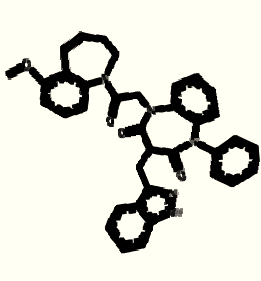 COc1cccc2c1CCCCN2C(=O)CN1C(=O)C(Cc2n[nH]c3ccccc23)C(=O)N(c2ccccc2)c2ccccc21